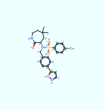 CC1(C)CCNC(=O)C(N(Cc2ccc(-c3ccno3)cc2)S(=O)(=O)c2ccc(Cl)cc2)C1